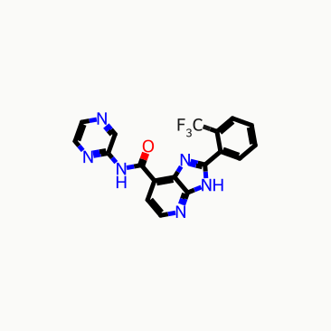 O=C(Nc1cnccn1)c1ccnc2[nH]c(-c3ccccc3C(F)(F)F)nc12